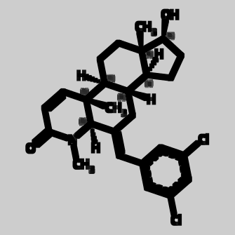 CN1C(=O)C=C[C@]2(C)[C@H]3CC[C@]4(C)[C@@H](O)CC[C@H]4[C@@H]3CC(=Cc3cc(Cl)cc(Cl)c3)[C@@H]12